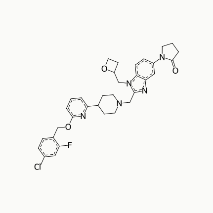 O=C1CCCN1c1ccc2c(c1)nc(CN1CCC(c3cccc(OCc4ccc(Cl)cc4F)n3)CC1)n2CC1CCO1